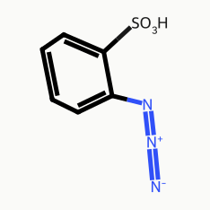 [N-]=[N+]=Nc1ccccc1S(=O)(=O)O